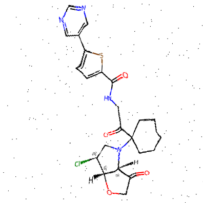 O=C(NCC(=O)C1(N2C[C@H](Cl)[C@H]3OCC(=O)[C@H]32)CCCCC1)c1ccc(-c2cncnc2)s1